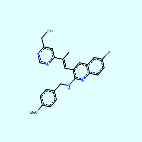 COc1ccc(CNc2nc3ccc(Br)cc3cc2/C=C(\C)c2cc(CC(C)(C)C)ncn2)cc1